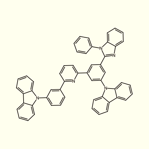 c1ccc(-n2c(-c3cc(-c4cccc(-c5cccc(-n6c7ccccc7c7ccccc76)c5)n4)cc(-n4c5ccccc5c5ccccc54)c3)nc3ccccc32)cc1